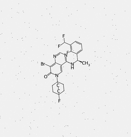 C[C@@H](Nc1ncnc2c(Br)c(=O)n(C34CCC(F)(CC3)CC4)cc12)c1cccc(C(F)F)c1F